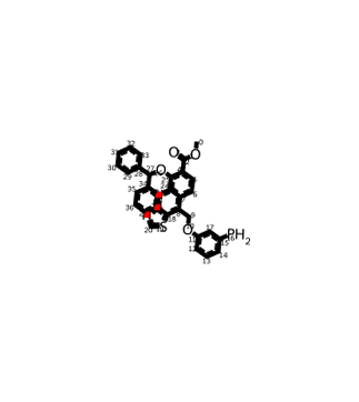 COC(=O)c1ccc2c(COc3cccc(P)c3)c3scnc3nc2c1OC(c1ccccc1)c1ccccc1